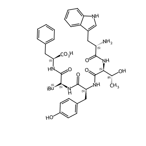 CC[C@H](C)[C@H](NC(=O)[C@H](Cc1ccc(O)cc1)NC(=O)[C@@H](NC(=O)[C@@H](N)Cc1c[nH]c2ccccc12)[C@@H](C)O)C(=O)N[C@@H](Cc1ccccc1)C(=O)O